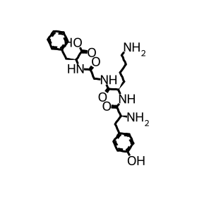 NCCCC[C@@H](NC(=O)[C@@H](N)Cc1ccc(O)cc1)C(=O)NCC(=O)N[C@@H](Cc1ccccc1)C(=O)O